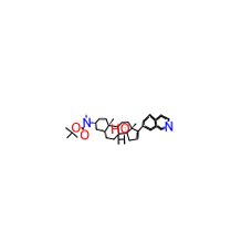 CN(C(=O)OC(C)(C)C)[C@H]1CC[C@@]2(C)C(CC[C@@H]3C2CC[C@]2(C)C(c4ccc5ccncc5c4)=CC[C@@]32O)C1